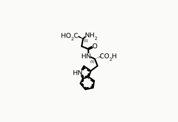 N[C@@H](CC(=O)N[C@@H](Cc1c[nH]c2ccccc12)C(=O)O)C(=O)O